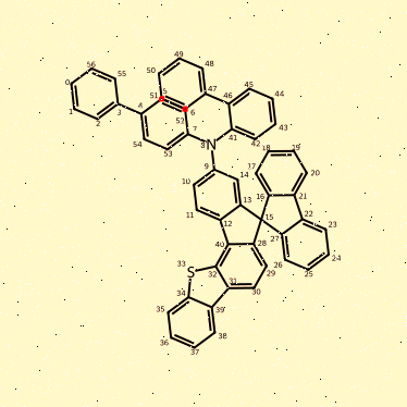 c1ccc(-c2ccc(N(c3ccc4c(c3)C3(c5ccccc5-c5ccccc53)c3ccc5c(sc6ccccc65)c3-4)c3ccccc3-c3ccccc3)cc2)cc1